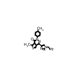 Cc1ccc(-n2nc(-c3cn(CC[18F])nn3)c3csc(C)c3c2=O)cc1